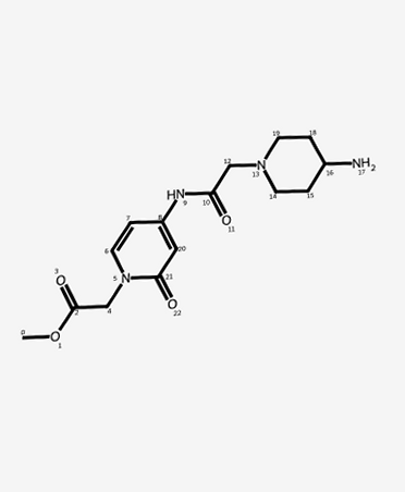 COC(=O)Cn1ccc(NC(=O)CN2CCC(N)CC2)cc1=O